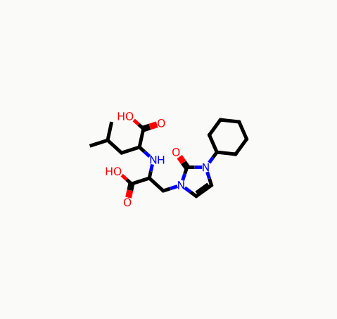 CC(C)CC(NC(Cn1ccn(C2CCCCC2)c1=O)C(=O)O)C(=O)O